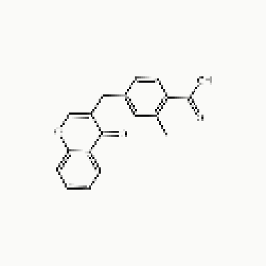 Cc1cc(Cc2coc3ccccc3c2=O)ccc1C(=O)O